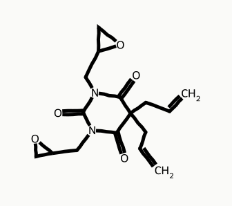 C=CCC1(CC=C)C(=O)N(CC2CO2)C(=O)N(CC2CO2)C1=O